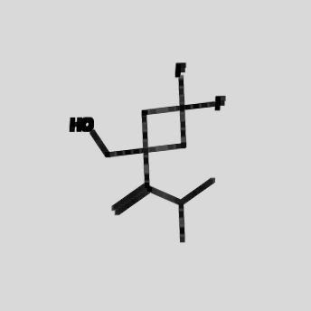 C=C(C(C)C)C1(CO)CC(F)(F)C1